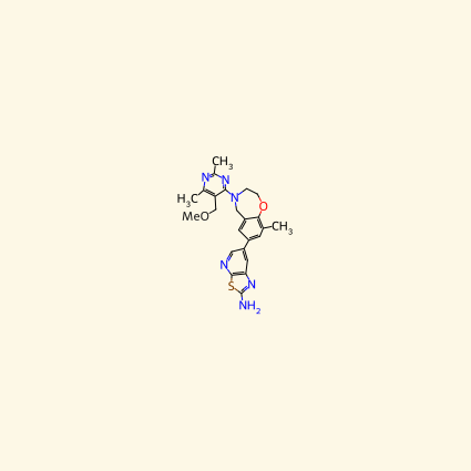 COCc1c(C)nc(C)nc1N1CCOc2c(C)cc(-c3cnc4sc(N)nc4c3)cc2C1